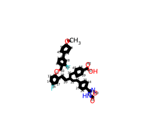 COc1ccc(-c2ccc(COc3ccc(F)cc3C=CC(CCc3ccc(-c4noc(=O)[nH]4)cc3)Cc3ccc(C(=O)O)cc3)c(F)c2)cc1